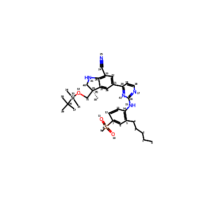 CCCCCc1cc(S(C)(=O)=O)ccc1Nc1nccc(-c2cc(C#N)c3c(c2)[C@@](C)(CO[Si](C)(C)C(C)(C)C)CN3)n1